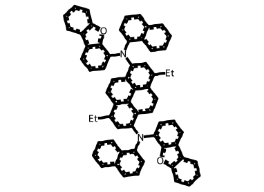 CCc1cc(N(c2cccc3ccccc23)c2cccc3c2oc2ccccc23)c2ccc3c(CC)cc(N(c4cccc5ccccc45)c4cccc5c4oc4ccccc45)c4ccc1c2c34